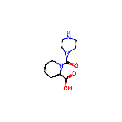 O=C(O)C1CCCCN1C(=O)N1CCNCC1